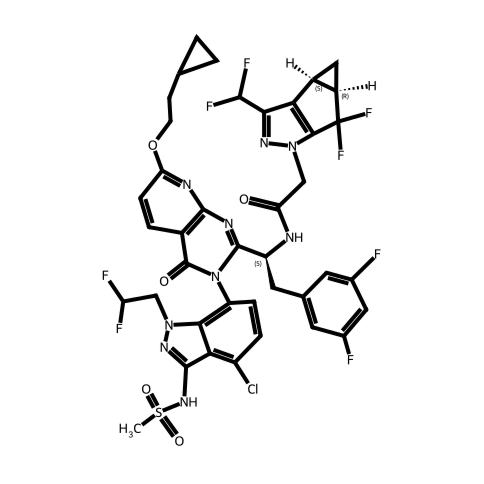 CS(=O)(=O)Nc1nn(CC(F)F)c2c(-n3c([C@H](Cc4cc(F)cc(F)c4)NC(=O)Cn4nc(C(F)F)c5c4C(F)(F)[C@@H]4C[C@H]54)nc4nc(OCCC5CC5)ccc4c3=O)ccc(Cl)c12